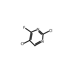 Fc1nc(Cl)n[c]c1Cl